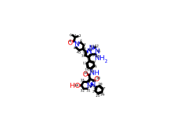 CC(C)C(=O)N1CCC(c2cc(-c3ccc(NC(=O)c4c5n(n(-c6ccccc6)c4=O)CCC(O)C5)cc3)c3c(N)ncnn23)CC1